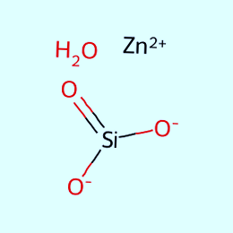 O.O=[Si]([O-])[O-].[Zn+2]